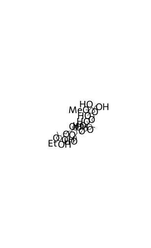 CC[C@@H]1OC(C)[C@H](COC[C@@H]2OC(CO)[C@@H](COC[C@@H]3OC(C)[C@@H](COC[C@@H]4OC(CO)[C@@H](O)[C@H](OC)[C@@H]4O)[C@H](O)[C@@H]3O)[C@H](O)[C@@H]2O)[C@H](O)[C@@H]1O